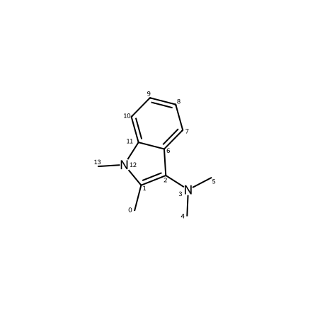 Cc1c(N(C)C)c2ccccc2n1C